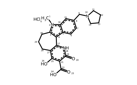 Cl.Cn1c2c(c3ccc(CN4CCCC4)cc31)-c1[nH]c(=O)c(C(=O)O)c(O)c1CCC2